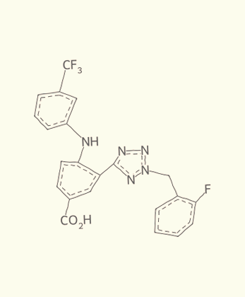 O=C(O)c1ccc(Nc2cccc(C(F)(F)F)c2)c(-c2nnn(Cc3ccccc3F)n2)c1